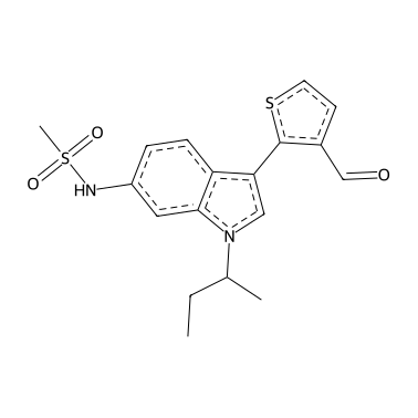 CCC(C)n1cc(-c2sccc2C=O)c2ccc(NS(C)(=O)=O)cc21